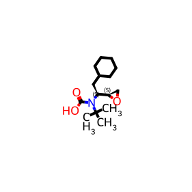 CC(C)(C)N(C(=O)O)[C@@H](CC1CCCCC1)[C@H]1CO1